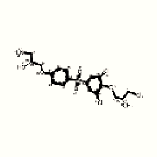 C[C@H](CCl)COc1c(Cl)cc(S(=O)(=O)c2ccc(OC[C@H](O)CN)cc2)cc1Cl